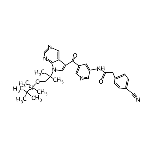 CC(C)(CO[Si](C)(C)C(C)(C)C)n1cc(C(=O)c2cncc(NC(=O)Cc3ccc(C#N)cc3)c2)c2cncnc21